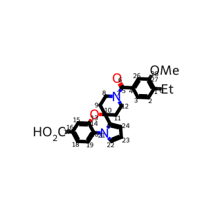 CCc1ccc(C(=O)N2CCC3(CC2)Oc2cc(C(=O)O)ccc2-n2cccc23)cc1OC